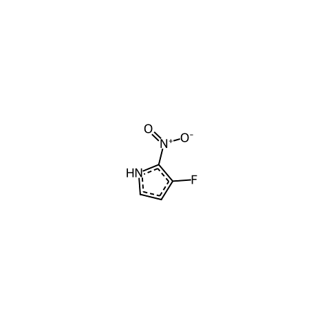 O=[N+]([O-])c1[nH]ccc1F